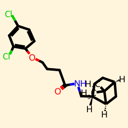 CC1(C)[C@H]2CC[C@@H](CNC(=O)CCCOc3ccc(Cl)cc3Cl)[C@@H]1C2